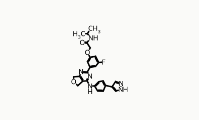 CC(C)NC(=O)COc1cc(F)cc(-c2nc3c(c(Nc4ccc(-c5cn[nH]c5)cc4)n2)COC3)c1